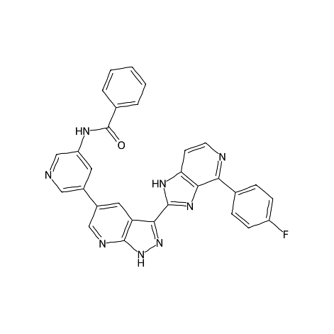 O=C(Nc1cncc(-c2cnc3[nH]nc(-c4nc5c(-c6ccc(F)cc6)nccc5[nH]4)c3c2)c1)c1ccccc1